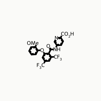 COc1ccccc1Oc1cc(C(F)(F)F)cc(C(F)(F)F)c1C(=O)Nc1ccc(C(=O)O)nc1